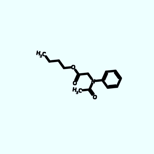 CCCCOC(=O)CN(C(C)=O)c1ccccc1